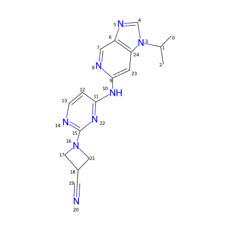 CC(C)n1cnc2cnc(Nc3ccnc(N4CC(C#N)C4)n3)cc21